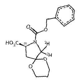 [2H]C1([2H])N(C(=O)OCc2ccccc2)[C@H](C(=O)O)CC12OCCCO2